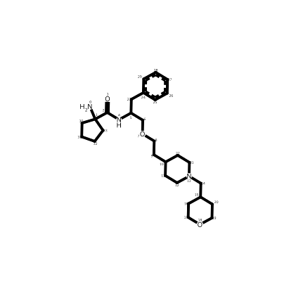 NC1(C(=O)NC(COCCC2CCN(CC3CCOCC3)CC2)Cc2ccccc2)CCCC1